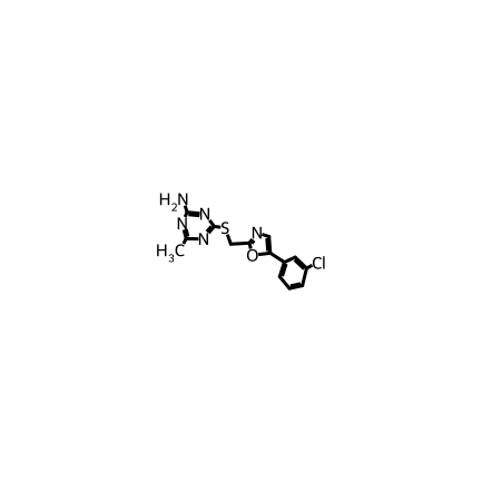 Cc1nc(N)nc(SCc2ncc(-c3cccc(Cl)c3)o2)n1